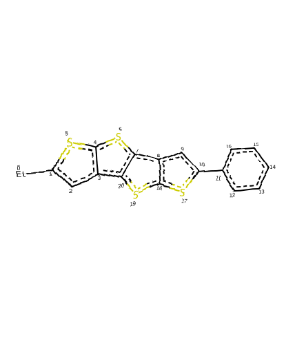 CCc1cc2c(s1)sc1c3cc(-c4ccccc4)sc3sc21